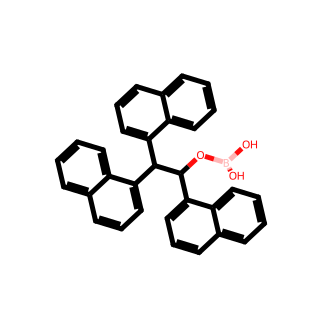 OB(O)OC(c1cccc2ccccc12)C(c1cccc2ccccc12)c1cccc2ccccc12